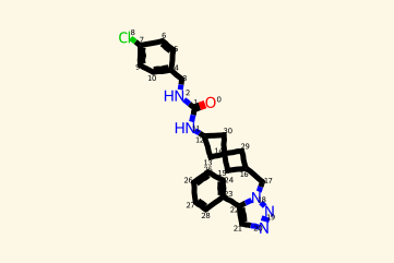 O=C(NCc1ccc(Cl)cc1)NC1CC2(CC(Cn3nncc3-c3ccccc3)C2)C1